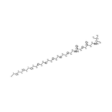 CCOCCOCCOCCOCCOCCOCCOCCOCCNC(=O)COCC(=O)CCNC(C)C(C)C